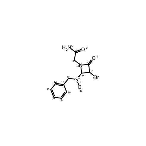 NC(=O)CN1C(=O)C(Br)[C@H]1[S+]([O-])Cc1ccccc1